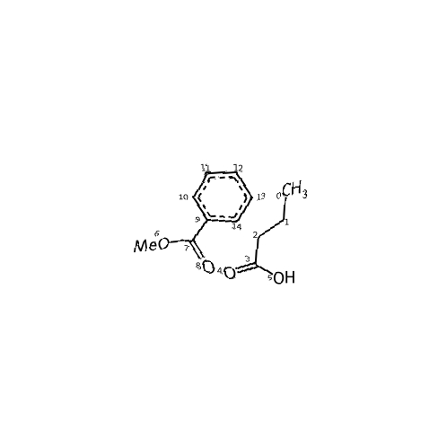 CCCC(=O)O.COC(=O)c1ccccc1